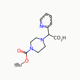 CC(C)(C)OC(=O)N1CCN(C(C(=O)O)c2ccccn2)CC1